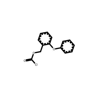 O=C(Cl)OCc1ccccc1Oc1ccccc1